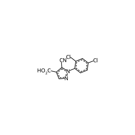 N#Cc1c(C(=O)O)cnn1-c1ccc(Cl)cc1Cl